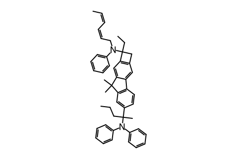 C/C=C\C=C/CN(c1ccccc1)C1(CC)Cc2cc3c(cc21)C(C)(C)c1cc(C(C)(CCC)N(c2ccccc2)c2ccccc2)ccc1-3